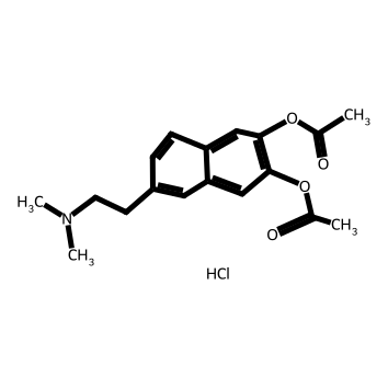 CC(=O)Oc1cc2ccc(CCN(C)C)cc2cc1OC(C)=O.Cl